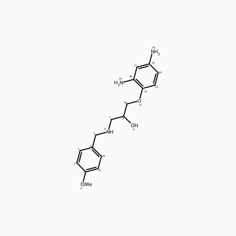 COc1ccc(CNCC(O)COc2ccc(N)cc2N)cc1